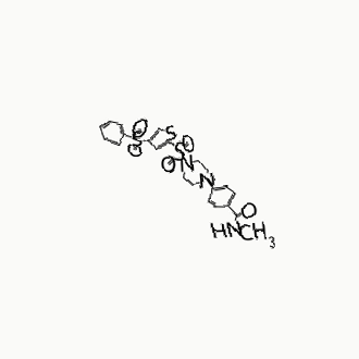 CNC(=O)c1ccc(N2CCN(S(=O)(=O)c3cc(S(=O)(=O)c4ccccc4)cs3)CC2)cc1